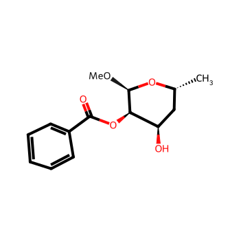 CO[C@H]1O[C@H](C)C[C@@H](O)[C@H]1OC(=O)c1ccccc1